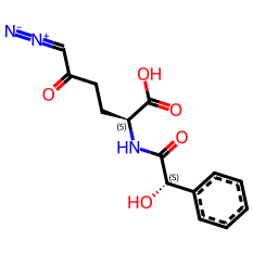 [N-]=[N+]=CC(=O)CC[C@H](NC(=O)[C@@H](O)c1ccccc1)C(=O)O